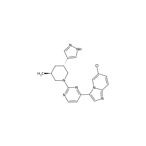 C[C@H]1C[C@H](c2cn[nH]c2)CN(c2nccc(-c3cnc4ccc(Cl)cn34)n2)C1